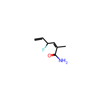 C=CC(F)C=C(C)C(N)=O